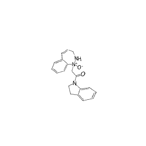 O=C(C[N+]1([O-])NCC=Cc2ccccc21)N1CCc2ccccc21